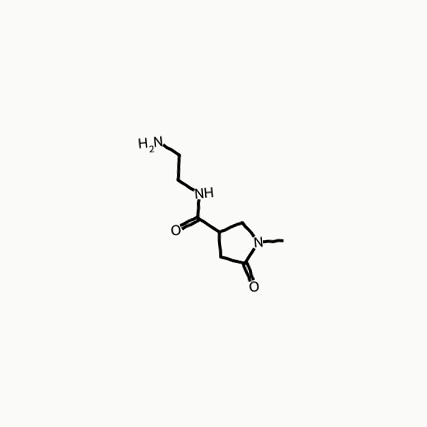 CN1CC(C(=O)NCCN)CC1=O